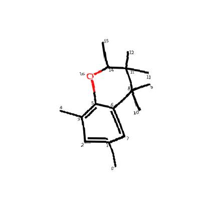 Cc1cc(C)c2c(c1)C(C)(C)C(C)(C)C(C)O2